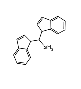 [SiH3]C(C1C=Cc2ccccc21)C1C=Cc2ccccc21